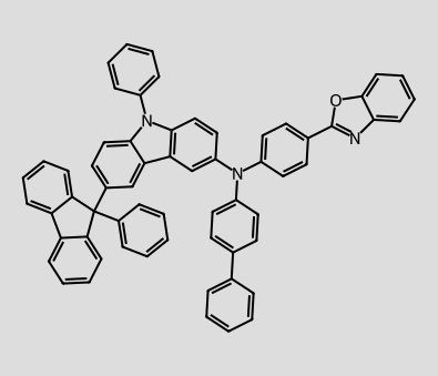 c1ccc(-c2ccc(N(c3ccc(-c4nc5ccccc5o4)cc3)c3ccc4c(c3)c3cc(C5(c6ccccc6)c6ccccc6-c6ccccc65)ccc3n4-c3ccccc3)cc2)cc1